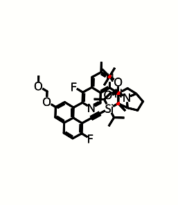 COCOc1cc(-c2ncc3c(N4CC5CCC(C4)N5C(=O)OC(C)(C)C)nc(C)cc3c2F)c2c(C#C[Si](C(C)C)(C(C)C)C(C)C)c(F)ccc2c1